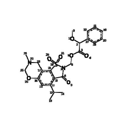 COC(C(=O)OCN1C(=O)c2c(C(C)C)cc3c(c2S1(=O)=O)CN(C)CO3)c1ccccc1